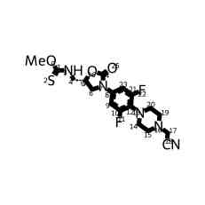 COC(=S)NC[C@H]1CN(c2cc(F)c(N3CCN(CC#N)CC3)c(F)c2)C(=O)O1